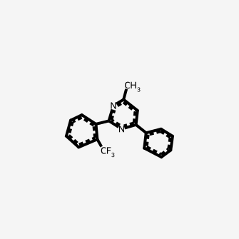 Cc1cc(-c2ccccc2)nc(-c2ccccc2C(F)(F)F)n1